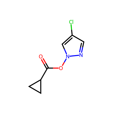 O=C(On1cc(Cl)cn1)C1CC1